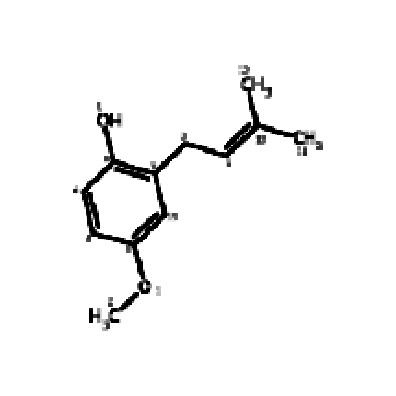 COc1ccc(O)c(CC=C(C)C)c1